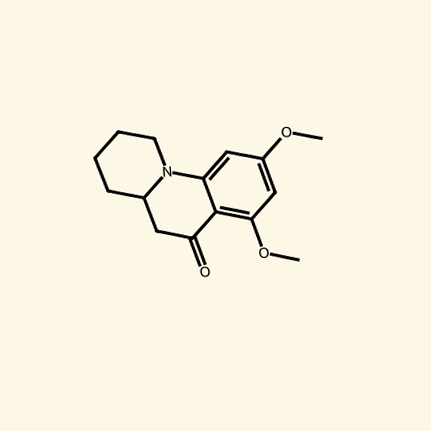 COc1cc(OC)c2c(c1)N1CCCCC1CC2=O